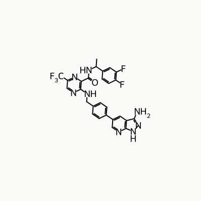 CC(NC(=O)c1nc(C(F)(F)F)cnc1NCc1ccc(-c2cnc3[nH]nc(N)c3c2)cc1)c1ccc(F)c(F)c1